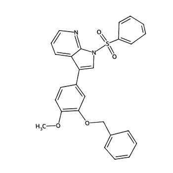 COc1ccc(-c2cn(S(=O)(=O)c3ccccc3)c3ncccc23)cc1OCc1ccccc1